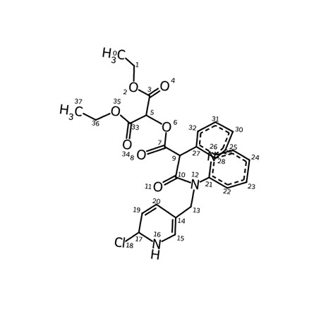 CCOC(=O)C(OC(=O)C(C(=O)N(CC1=CNC(Cl)C=C1)c1ccccn1)c1ccccc1)C(=O)OCC